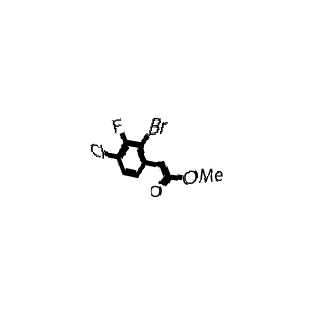 COC(=O)Cc1ccc(Cl)c(F)c1Br